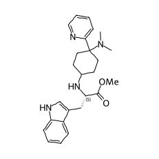 COC(=O)[C@H](Cc1c[nH]c2ccccc12)NC1CCC(c2ccccn2)(N(C)C)CC1